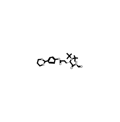 CC(C)(C)N([C@@H](CCC(=O)Oc1ccc(C2SCCCS2)cc1)C(=O)N[C]=O)C(C)(C)C